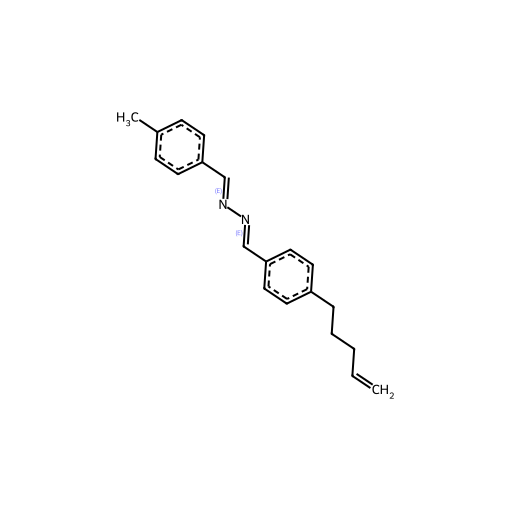 C=CCCCc1ccc(/C=N/N=C/c2ccc(C)cc2)cc1